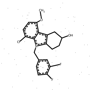 COc1ccc(Cl)c2c1c1c(n2Cc2ccc(F)c(F)c2)CCC(O)C1